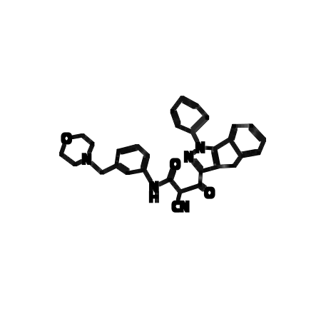 N#CC(C(=O)Nc1cccc(CN2CCOCC2)c1)C(=O)c1nn(-c2ccccc2)c2c1Cc1ccccc1-2